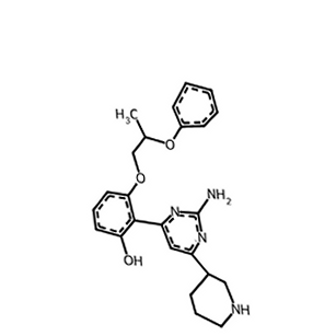 CC(COc1cccc(O)c1-c1cc(C2CCCNC2)nc(N)n1)Oc1ccccc1